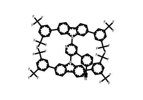 N#Cc1cccc(-c2cc(-n3c4cc(-c5cc(C(F)(F)F)cc(C(F)(F)F)c5)ccc4c4ccc(-c5cc(C(F)(F)F)cc(C(F)(F)F)c5)cc43)ncc2-n2c3cc(-c4cc(C(F)(F)F)cc(C(F)(F)F)c4)ccc3c3ccc(-c4cc(C(F)(F)F)cc(C(F)(F)F)c4)cc32)c1